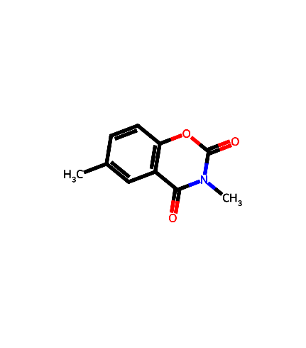 Cc1ccc2oc(=O)n(C)c(=O)c2c1